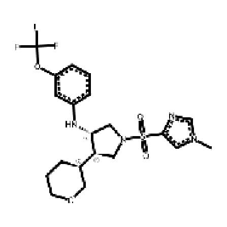 Cn1cnc(S(=O)(=O)N2C[C@@H]([C@@H]3CCCOC3)[C@H](Nc3cccc(OC(F)(F)F)c3)C2)c1